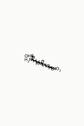 NC(CCCCNC(=O)OCCOCCO[N+](=O)[O-])OC=O